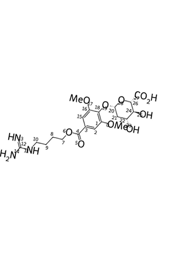 COc1cc(C(=O)OCCCCNC(=N)N)cc(OC)c1O[C@H]1C[C@@H](O)[C@H](O)[C@@H](C(=O)O)O1